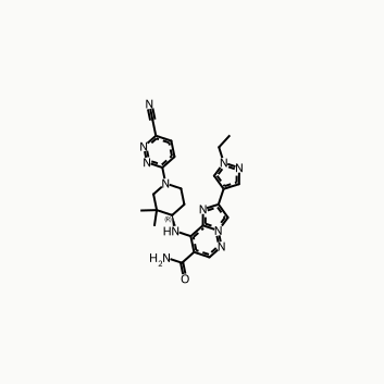 CCn1cc(-c2cn3ncc(C(N)=O)c(N[C@@H]4CCN(c5ccc(C#N)nn5)CC4(C)C)c3n2)cn1